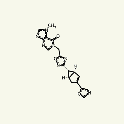 Cn1cnc2ncn(Cc3nc([C@@H]4[C@H]5C=C(c6cnco6)C[C@H]54)no3)c(=O)c21